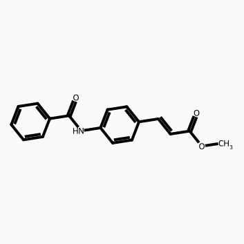 COC(=O)/C=C/c1ccc(NC(=O)c2ccccc2)cc1